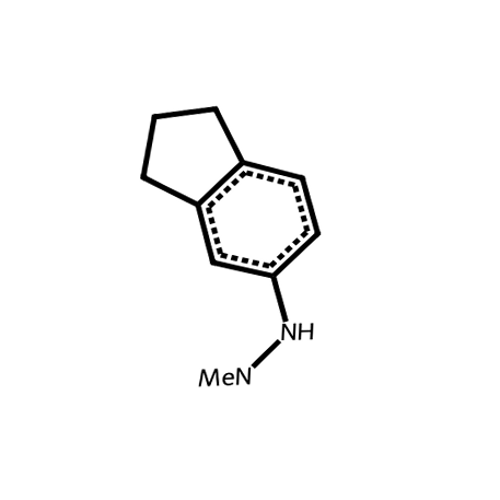 CNNc1ccc2c(c1)CCC2